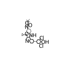 CN(C(=O)OC(C)(C)C)C1CCC(Nc2c(C(=O)C3CC3)cnc3ccc(-c4cc(Cl)c(O)c(Cl)c4)cc23)CC1